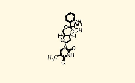 Cc1cn([C@@H]2C[C@@H]3O[C@@](c4ccccc4)(P(=O)(O)O)OC[C@@H]3O2)c(=O)[nH]c1=O